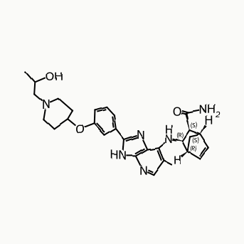 Cc1cnc2[nH]c(-c3cccc(OC4CCN(CC(C)O)CC4)c3)nc2c1N[C@H]1[C@@H](C(N)=O)[C@@H]2C=C[C@H]1C2